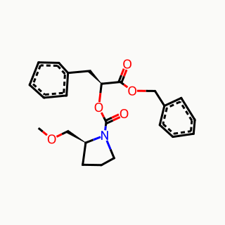 COC[C@@H]1CCCN1C(=O)O[C@@H](Cc1ccccc1)C(=O)OCc1ccccc1